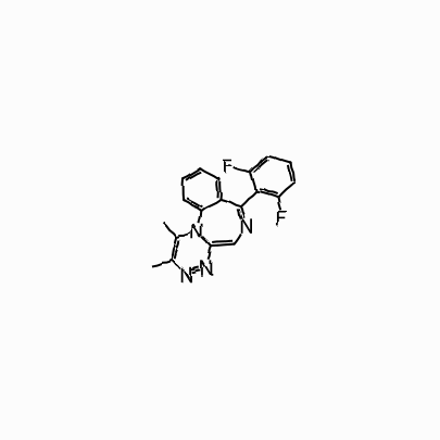 CC1=C(C)N2C(=CN=C(c3c(F)cccc3F)c3ccccc32)N=N1